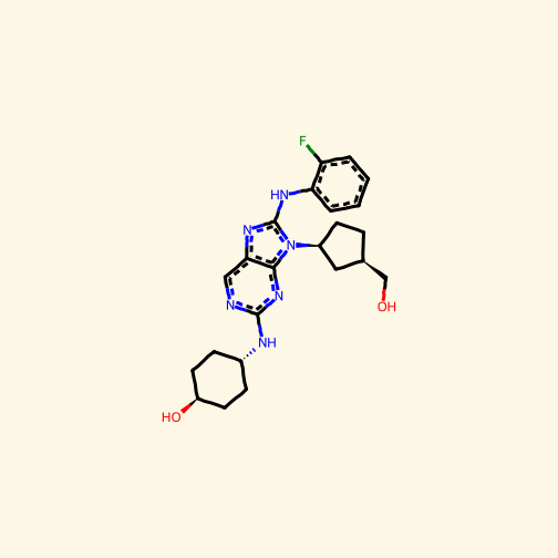 OC[C@@H]1CC[C@H](n2c(Nc3ccccc3F)nc3cnc(N[C@H]4CC[C@H](O)CC4)nc32)C1